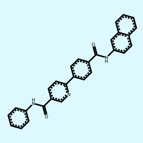 O=C(Nc1ccc2ccccc2c1)c1ccc(-c2ccc(C(=O)Nc3ccccc3)cn2)cc1